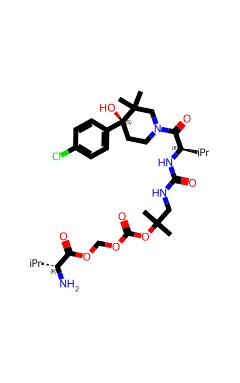 CC(C)[C@@H](N)C(=O)OCOC(=O)OC(C)(C)CNC(=O)N[C@@H](C(=O)N1CC[C@](O)(c2ccc(Cl)cc2)C(C)(C)C1)C(C)C